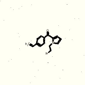 C=Cc1ccc(C(=O)c2cccn2CCBr)cc1